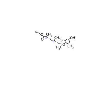 C/C(=C\CCC1(C)CCc2cc(O)cc(C)c2O1)CC/C=C(\C)C(=O)OCCF